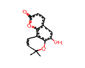 CC1(C)C=Cc2c(c(O)cc3ccc(=O)oc23)O1